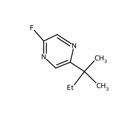 CCC(C)(C)c1cnc(F)cn1